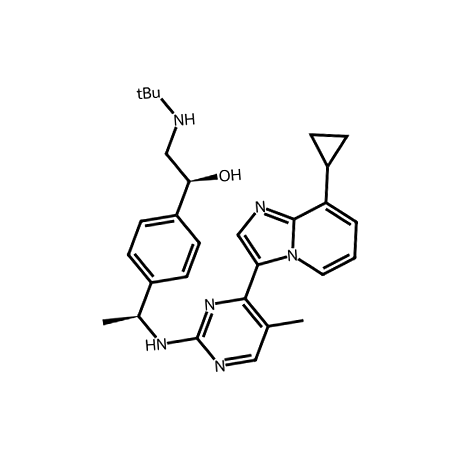 Cc1cnc(N[C@@H](C)c2ccc([C@H](O)CNC(C)(C)C)cc2)nc1-c1cnc2c(C3CC3)cccn12